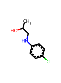 CC(O)CNc1ccc(Cl)cc1